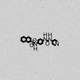 O=C(Nc1ccncc1)Nc1ccc(NS(=O)(=O)c2ccc3ccccc3c2)cc1